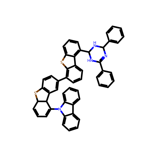 C1=CC2Sc3ccc(-c4cccc5c4sc4cccc(C6NC(c7ccccc7)=NC(c7ccccc7)N6)c45)cc3C2C(n2c3ccccc3c3ccccc32)=C1